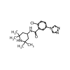 CC1(C)CC(NC(=O)c2cc(-n3cnnc3)ccc2Cl)CC(C)(C)N1